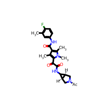 CC(=O)N1C[C@@H]2C(NC(=O)C(=O)c3c(C)c(C(=O)Nc4ccc(F)c(C)c4)c(C)n3C)[C@@H]2C1